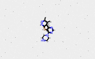 Cc1nnc2sc3c(N4CCNCC4)ncnc3c2c1C